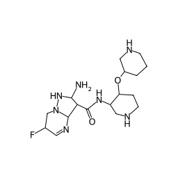 NC1NN2CC(F)C=NC2C1C(=O)NC1CNCCC1OC1CCCNC1